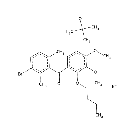 CC(C)(C)[O-].CCCCOc1c(C(=O)c2c(C)ccc(Br)c2C)ccc(OC)c1OC.[K+]